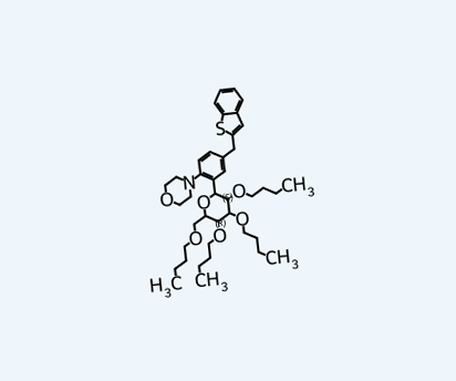 CCCCOCC1OC(c2cc(Cc3cc4ccccc4s3)ccc2N2CCOCC2)[C@H](OCCCC)C(OCCCC)[C@@H]1OCCCC